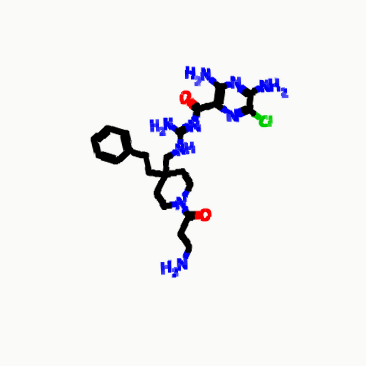 NCCC(=O)N1CCC(CCc2ccccc2)(CN/C(N)=N/C(=O)c2nc(Cl)c(N)nc2N)CC1